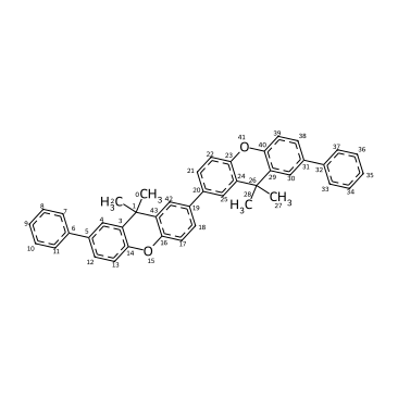 CC1(C)c2cc(-c3ccccc3)ccc2Oc2ccc(-c3ccc4c(c3)C(C)(C)c3cc(-c5ccccc5)ccc3O4)cc21